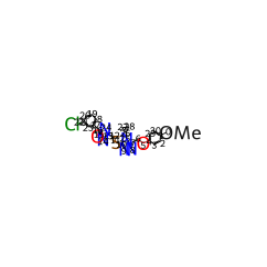 COc1ccc(OCc2nnc(SCc3noc(-c4cccc(Cl)c4)n3)n2C2CC2)cc1